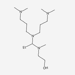 CCC(N(C)CCO)N(CCCN(C)C)CCCN(C)C